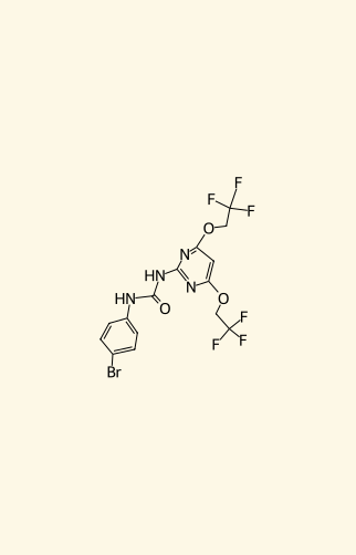 O=C(Nc1ccc(Br)cc1)Nc1nc(OCC(F)(F)F)cc(OCC(F)(F)F)n1